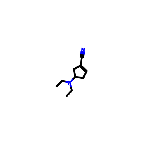 CCN(CC)C1CC=C(C#N)C1